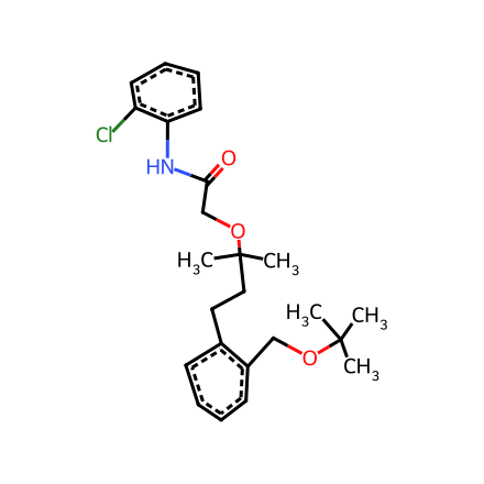 CC(C)(C)OCc1ccccc1CCC(C)(C)OCC(=O)Nc1ccccc1Cl